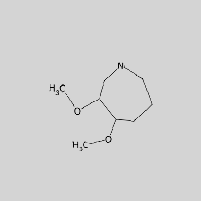 COC1CCC[N]CC1OC